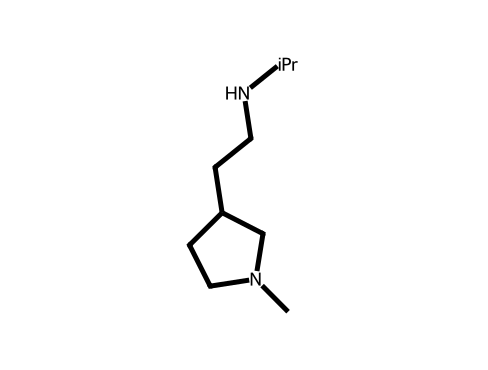 CC(C)NCCC1CCN(C)C1